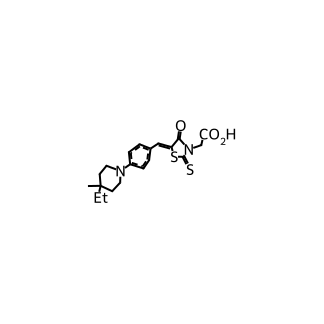 CCC1(C)CCN(c2ccc(/C=C3\SC(=S)N(CC(=O)O)C3=O)cc2)CC1